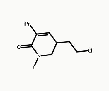 CC(C)C1=CC(CCCl)CN(I)C1=O